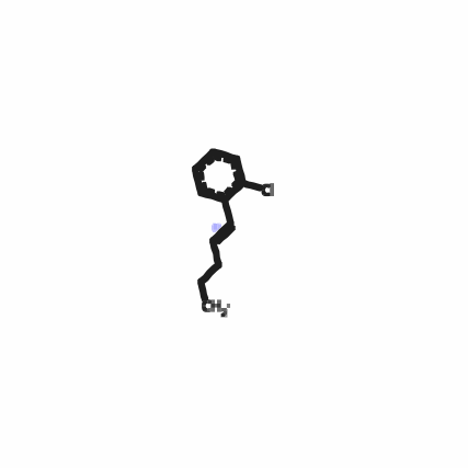 [CH2]CC/C=C/c1ccccc1Cl